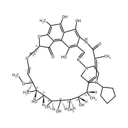 CO[C@H]1/C=C/O[C@@]2(C)Oc3c(C)c(O)c4c(O)c(c(/C=N/N5CCN(C6CCCC6)CC5)c(O)c4c3C2=O)NC(=O)/C(C)=C\C=C\[C@H](C)[C@H](O)[C@@H](C)[C@@H](O)[C@@H](C)[C@H](O)[C@@H]1C